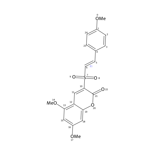 COc1ccc(/C=C/S(=O)(=O)c2cc3c(OC)cc(OC)cc3oc2=O)cc1